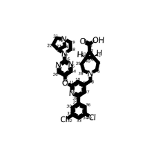 O=C(O)C1[C@H]2CCN(Cc3cc(Oc4cnc(N5CCN6CCC5C6)nc4)nc(-c4cc(Cl)cc(Cl)c4)c3)CC[C@@H]12